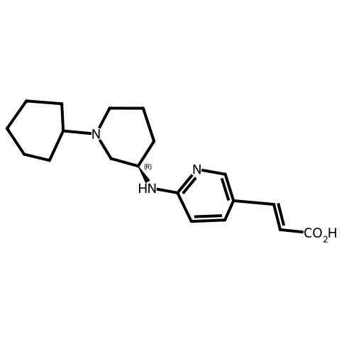 O=C(O)C=Cc1ccc(N[C@@H]2CCCN(C3CCCCC3)C2)nc1